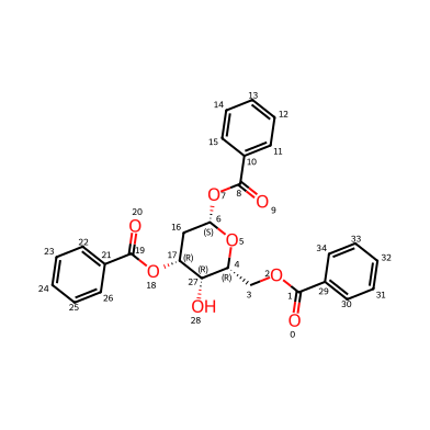 O=C(OC[C@H]1O[C@@H](OC(=O)c2ccccc2)C[C@@H](OC(=O)c2ccccc2)[C@H]1O)c1ccccc1